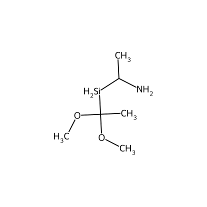 COC(C)(OC)[SiH2]C(C)N